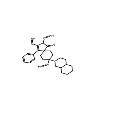 N=NC1=C(c2ccccc2)C2(CCC(N=N)(C3CCC4CCCCC4C3)CC2)C(=O)C1N=N